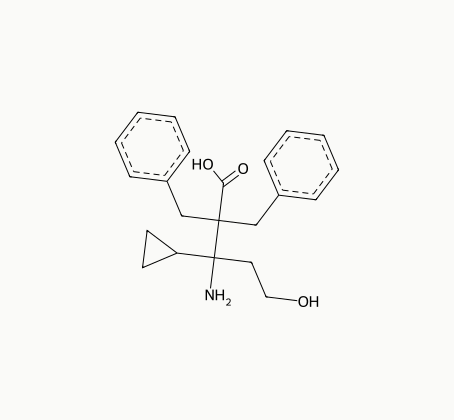 NC(CCO)(C1CC1)C(Cc1ccccc1)(Cc1ccccc1)C(=O)O